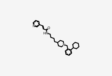 O=C(C=Cc1cccnc1)NCCCCC1CCN(Cc2ccccc2C2CCCCC2)CC1